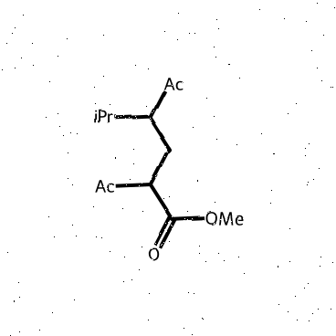 COC(=O)C(CC(C(C)=O)C(C)C)C(C)=O